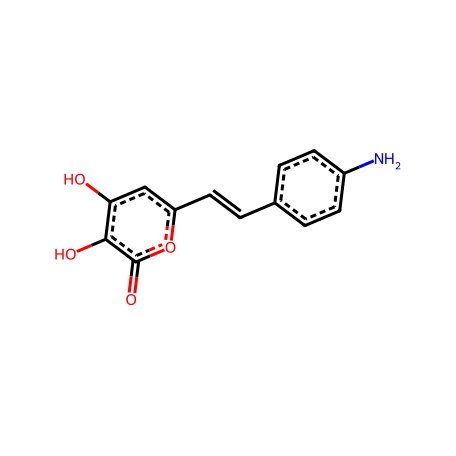 Nc1ccc(C=Cc2cc(O)c(O)c(=O)o2)cc1